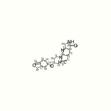 CCc1cc2c(nc1N1CCC(Oc3ccc4c(c3)COC4)CC1)CNC2=O